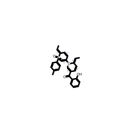 C\C=C(/C=C\C(=C/C)C(=O)c1ccccc1O)OC(/C=C\C(=C/C)S(=O)(=O)c1ccc(C)cc1)=C/C